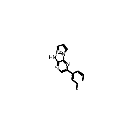 C/C=C\C(=C/CC)c1cnc2[nH][n+]3cccn3c2n1